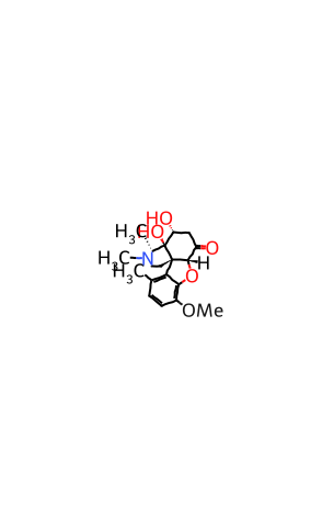 COc1ccc(C)c2c1O[C@H]1C(=O)C[C@@H](O)[C@@]3(O)[C@@H](C)N(C)CC[C@]213